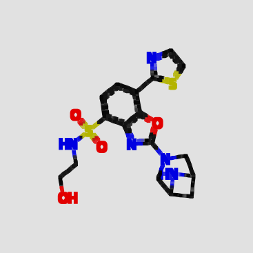 O=S(=O)(NCCO)c1ccc(-c2nccs2)c2oc(N3CC4CC(C3)N4)nc12